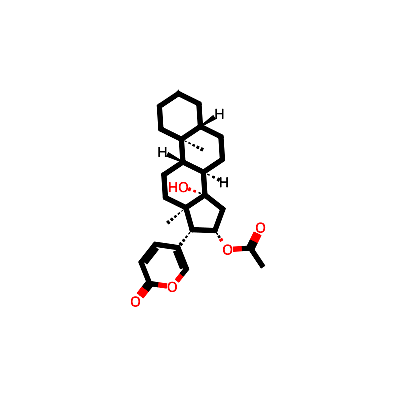 CC(=O)O[C@H]1C[C@]2(O)[C@@H]3CC[C@H]4C[CH]CC[C@]4(C)[C@H]3CC[C@]2(C)[C@H]1c1ccc(=O)oc1